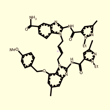 CCn1nc(C)cc1C(=O)Nc1nc2cc(C(N)=O)ccc2n1C/C=C/Cn1c(NC(=O)c2cc(C)nn2CC)nc2cc(C)cc(OCc3ccc(OC)cc3)c21